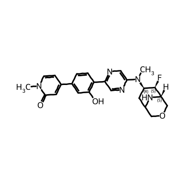 CN(c1cnc(-c2ccc(-c3ccn(C)c(=O)c3)cc2O)cn1)[C@@H]1CC2COC[C@H](N2)[C@@H]1F